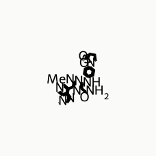 CNc1nc(Nc2ccc(N3CCCS3(=O)=O)cc2)c(C(N)=O)nc1-c1cncc2c1ncn2C